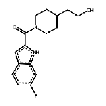 O=C(c1cc2ccc(F)cc2[nH]1)N1CCC(CCO)CC1